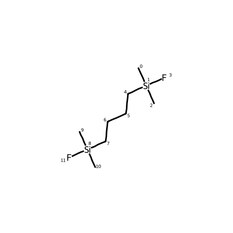 C[Si](C)(F)CCCC[Si](C)(C)F